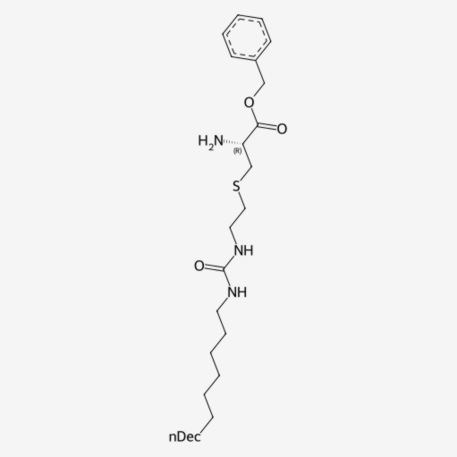 CCCCCCCCCCCCCCCCNC(=O)NCCSC[C@H](N)C(=O)OCc1ccccc1